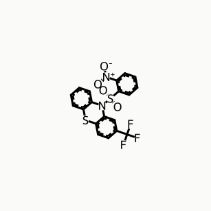 O=[N+]([O-])c1ccccc1S(=O)(=O)N1c2ccccc2Sc2ccc(C(F)(F)F)cc21